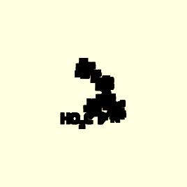 Cn1cc([C@@H]2C[C@H]2c2c(C(=O)O)cnn2-c2cccc(-c3cccc(/C=C/C4CCCCC4)c3)c2)nn1